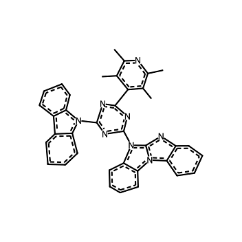 Cc1nc(C)c(C)c(-c2nc(-n3c4ccccc4c4ccccc43)nc(-n3c4ccccc4n4c5ccccc5nc34)n2)c1C